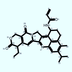 C=CC(=O)NC1CCc2c(C)c(C(C)C)cc3nc4c(c1c23)Cn1c-4cc2c(c1=O)COC(=O)C2CC